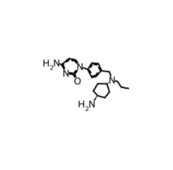 CCCN(Cc1ccc(-n2ccc(N)nc2=O)cc1)[C@H]1CC[C@H](N)CC1